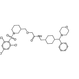 O=C(COCC1CCCN(S(=O)(=O)c2c(Cl)cc(Cl)cc2Cl)C1)NCC1CCC(C(c2ccccc2)N2CCOCC2)CC1